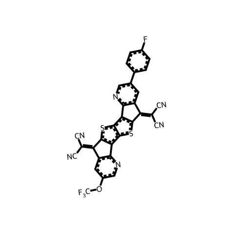 N#CC(C#N)=C1c2cc(OC(F)(F)F)cnc2-c2c1sc1c3c(sc21)C(=C(C#N)C#N)c1cc(-c2ccc(F)cc2)cnc1-3